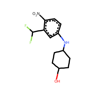 O=[N+]([O-])c1ccc(NC2CCC(O)CC2)cc1C(F)F